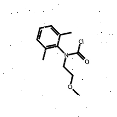 COCCN(C(=O)Cl)c1c(C)cccc1C